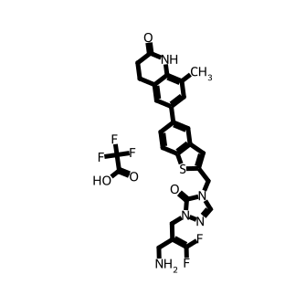 Cc1cc(-c2ccc3sc(Cn4cnn(CC(CN)=C(F)F)c4=O)cc3c2)cc2c1NC(=O)CC2.O=C(O)C(F)(F)F